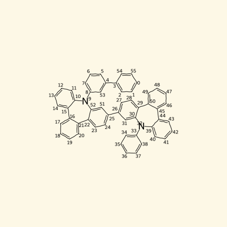 c1ccc(-c2cccc(N3c4ccccc4-c4ccccc4-c4ccc(-c5ccc6c(c5)N(c5ccccc5)c5ccccc5-c5ccccc5-6)cc43)c2)cc1